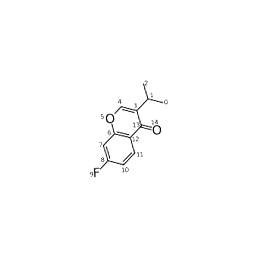 CC(C)c1coc2cc(F)ccc2c1=O